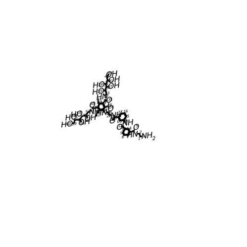 NCCNC(=O)c1cccc(C(=O)Nc2cccc(C(=O)NCC(=O)Nc3c(I)c(C(=O)NCC(O)C(O)C(O)C(O)CO)c(I)c(C(=O)NCC(O)C(O)C(O)C(O)CO)c3I)c2)c1